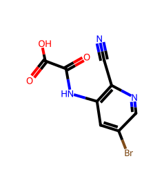 N#Cc1ncc(Br)cc1NC(=O)C(=O)O